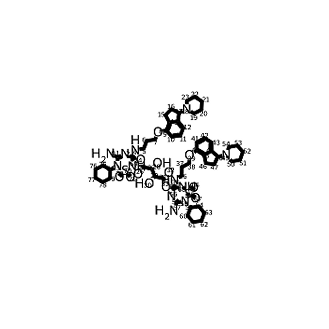 NC1=NC(NCCCOc2cccc3c2CCC3N2CCCCC2)(OC(=O)C(O)C(O)C(=O)OC2(NCCCOc3cccc4c3CCC4N3CCCCC3)N=C(N)N(C3CCCCC3)S(=O)(=O)N2)NS(=O)(=O)N1C1CCCCC1